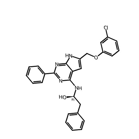 O[C@H](Cc1ccccc1)Nc1nc(-c2ccccc2)nc2[nH]c(COc3cccc(Cl)c3)cc12